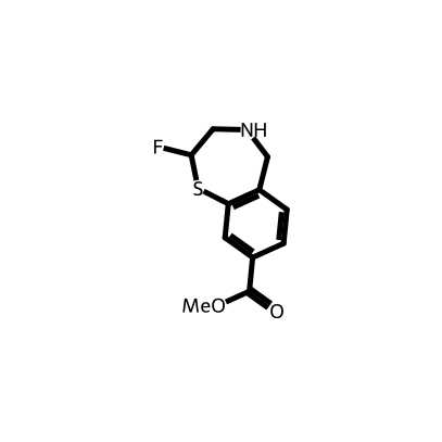 COC(=O)c1ccc2c(c1)SC(F)CNC2